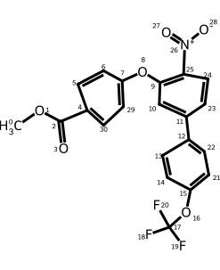 COC(=O)c1ccc(Oc2cc(-c3ccc(OC(F)(F)F)cc3)ccc2[N+](=O)[O-])cc1